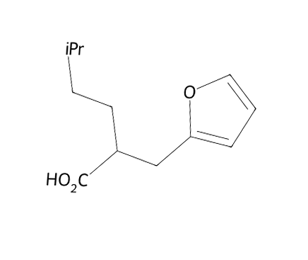 CC(C)CCC(Cc1ccco1)C(=O)O